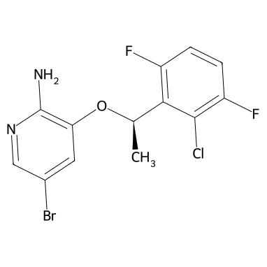 C[C@@H](Oc1cc(Br)cnc1N)c1c(F)ccc(F)c1Cl